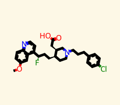 COc1ccc2nccc([C@@H](F)CC[C@@H]3CCN(CCCc4ccc(Cl)cc4)C[C@@H]3CC(=O)O)c2c1